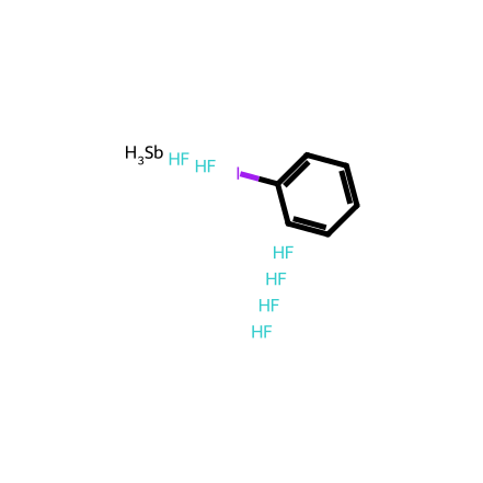 F.F.F.F.F.F.Ic1ccccc1.[SbH3]